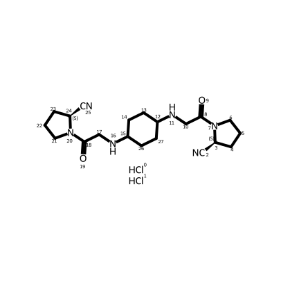 Cl.Cl.N#C[C@@H]1CCCN1C(=O)CNC1CCC(NCC(=O)N2CCC[C@H]2C#N)CC1